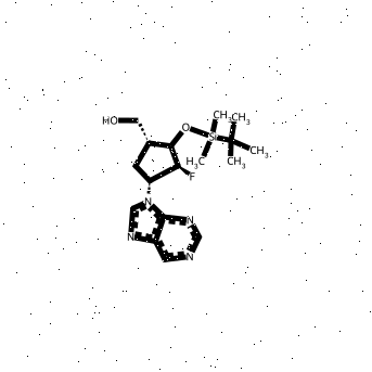 CC(C)(C)[Si](C)(C)OC1[C@@H](CO)C[C@@H](n2cnc3cncnc32)[C@@H]1F